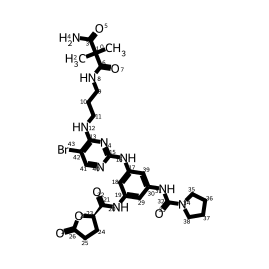 CC(C)(C(N)=O)C(=O)NCCCNc1nc(Nc2cc(NC(=O)[C@H]3CCC(=O)O3)cc(NC(=O)N3CCCC3)c2)ncc1Br